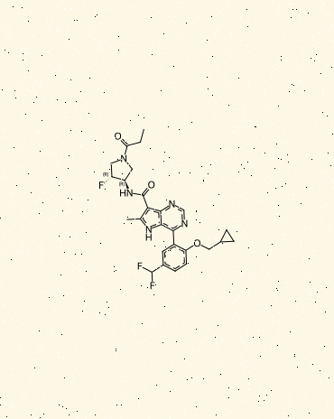 CCC(=O)N1C[C@@H](F)[C@H](NC(=O)c2c(C)[nH]c3c(-c4cc(C(F)F)ccc4OCC4CC4)ncnc23)C1